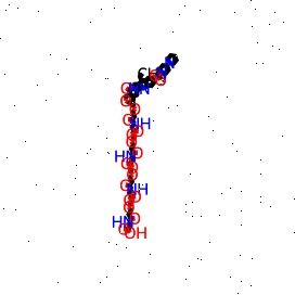 CCc1c2c(nc3ccc(OC(=O)N4CCC(N5CCCCC5)CC4)cc13)-c1cc3c(c(=O)n1C2)COC1C(OCCC(=O)NCC(=O)OCOCCC(=O)NCC(=O)OCOCCC(=O)NCC(=O)OCOCCC(=O)NCC(=O)O)C31